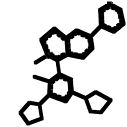 Cc1c(-c2c3ccc(-c4cccnc4)cc3cc[n+]2C)cc(C2CCCC2)cc1C1CCCC1